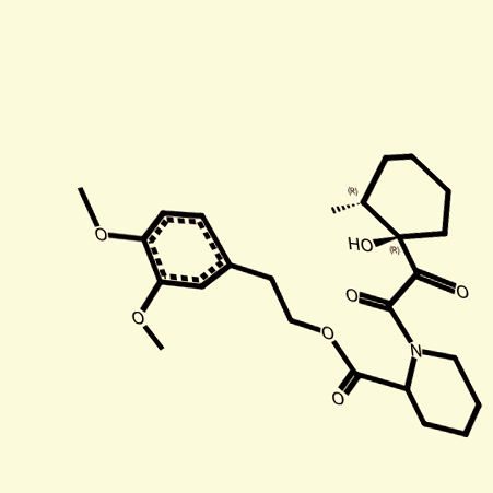 COc1ccc(CCOC(=O)C2CCCCN2C(=O)C(=O)[C@@]2(O)CCCC[C@H]2C)cc1OC